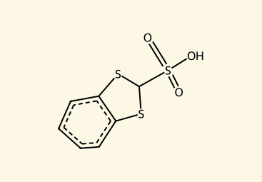 O=S(=O)(O)C1Sc2ccccc2S1